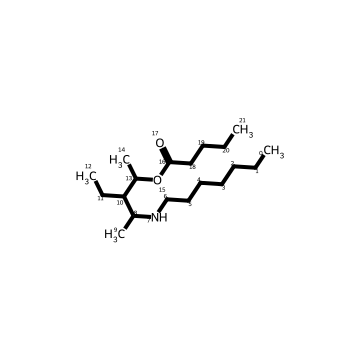 CCCCCCCNC(C)C(CC)C(C)OC(=O)CCCC